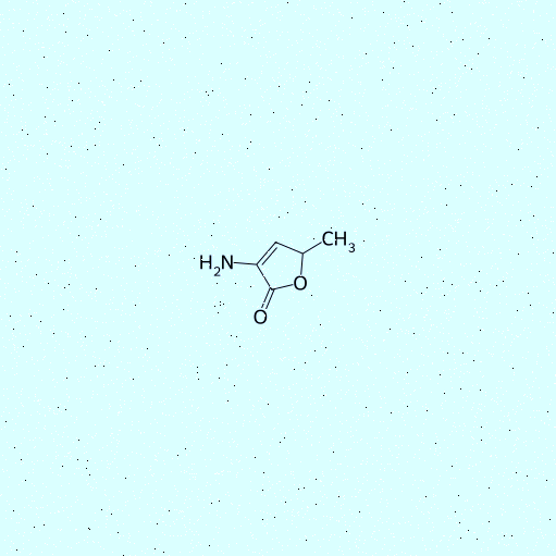 CC1C=C(N)C(=O)O1